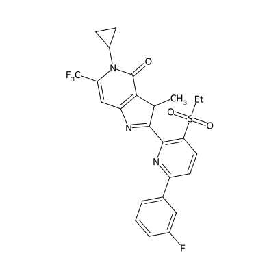 CCS(=O)(=O)c1ccc(-c2cccc(F)c2)nc1C1=Nc2cc(C(F)(F)F)n(C3CC3)c(=O)c2C1C